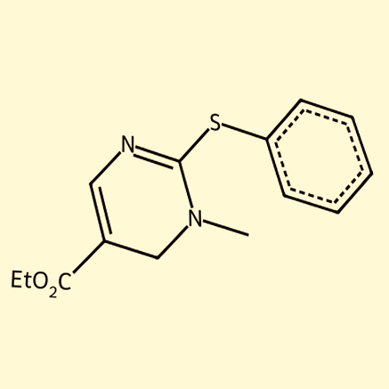 CCOC(=O)C1=CN=C(Sc2ccccc2)N(C)C1